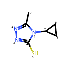 Cc1nnc(S)n1C1CC1